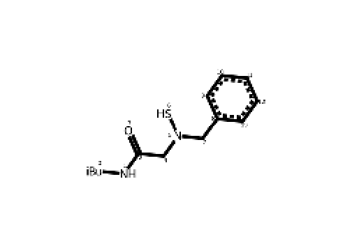 CCC(C)NC(=O)CN(S)Cc1ccccc1